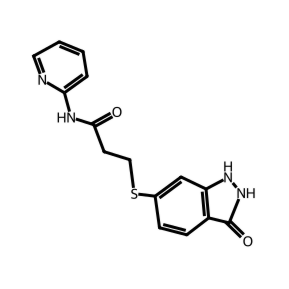 O=C(CCSc1ccc2c(=O)[nH][nH]c2c1)Nc1ccccn1